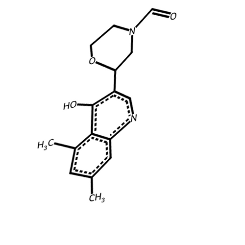 Cc1cc(C)c2c(O)c(C3CN(C=O)CCO3)cnc2c1